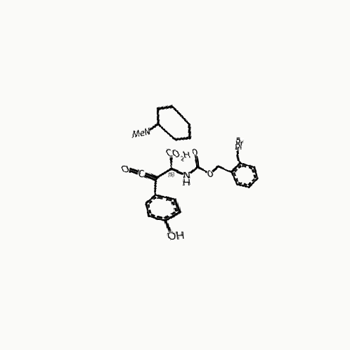 CNC1CCCCC1.O=C=C(c1ccc(O)cc1)[C@H](NC(=O)OCc1ccccc1Br)C(=O)O